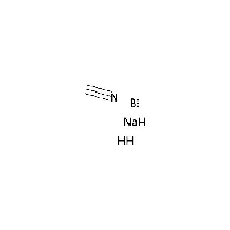 C#N.[B].[HH].[NaH]